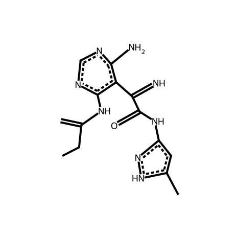 C=C(CC)Nc1ncnc(N)c1C(=N)C(=O)Nc1cc(C)[nH]n1